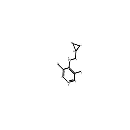 Cc1[c]ncc(C)c1OCC1CC1